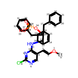 CCOC=Cc1cnc(Cl)nc1NC1C2C=CC(Cc3ccccc3)(CC2)C1(Cc1ccccc1)O[PH](=O)O